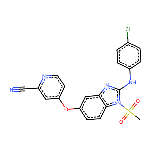 CS(=O)(=O)n1c(Nc2ccc(Cl)cc2)nc2cc(Oc3ccnc(C#N)c3)ccc21